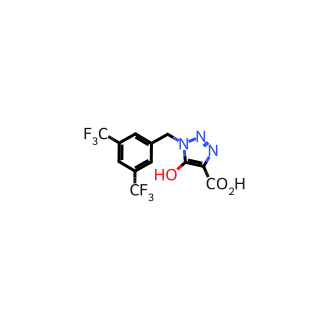 O=C(O)c1nnn(Cc2cc(C(F)(F)F)cc(C(F)(F)F)c2)c1O